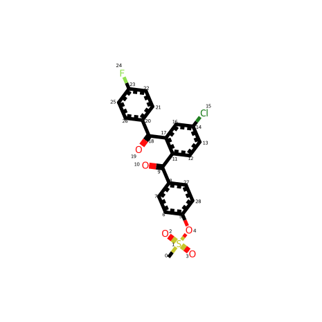 CS(=O)(=O)Oc1ccc(C(=O)c2ccc(Cl)cc2C(=O)c2ccc(F)cc2)cc1